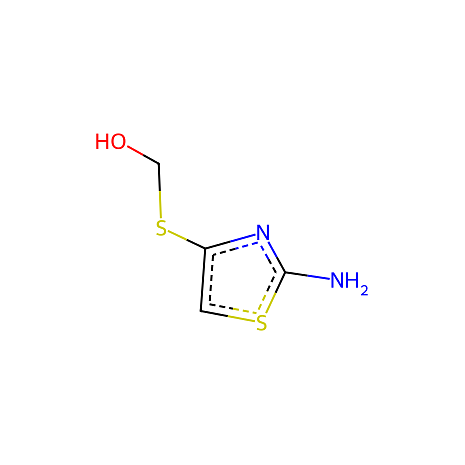 Nc1nc(SCO)cs1